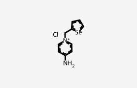 Nc1cc[n+](Cc2ccc[se]2)cc1.[Cl-]